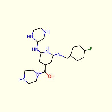 OC([C@@H]1CC(NCC2CCC(F)CC2)NC(NC2CNCCN2)C1)N1CCNCC1